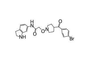 O=C(CON1CCC(C(=O)c2ccc(Br)cc2)CC1)Nc1ccc2c(c1)NCC2